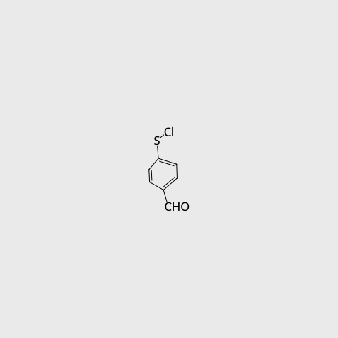 O=Cc1ccc(SCl)cc1